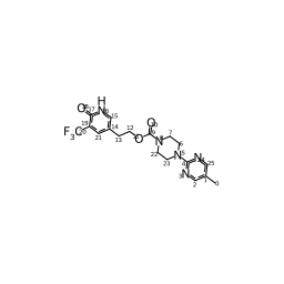 Cc1cnc(N2CCN(C(=O)OCCc3c[nH]c(=O)c(C(F)(F)F)c3)CC2)nc1